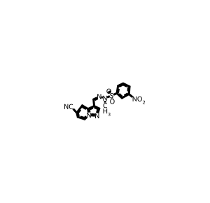 CN(/N=C\c1cnn2ccc(C#N)cc12)S(=O)(=O)c1cccc([N+](=O)[O-])c1